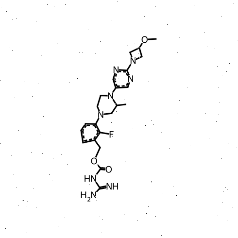 COC1CN(c2ncc(N3CCN(c4cccc(COC(=O)NC(=N)N)c4F)CC3C)cn2)C1